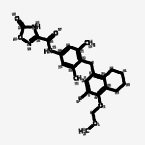 COCOc1c(F)cc(Cc2c(C)cc(NC(=O)c3noc(=O)[nH]3)cc2C)c2c1CCCC2